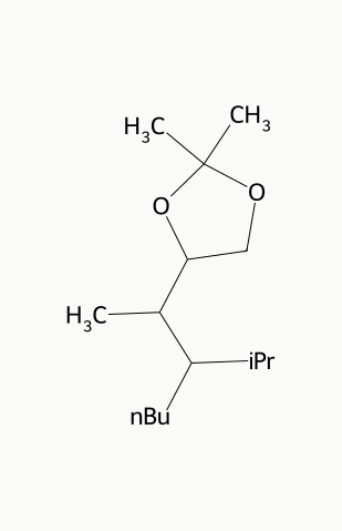 CCCCC(C(C)C)C(C)C1COC(C)(C)O1